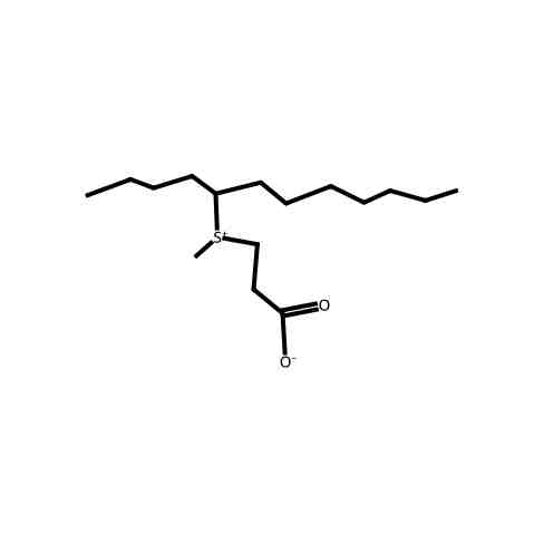 CCCCCCCC(CCCC)[S+](C)CCC(=O)[O-]